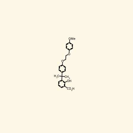 COc1ccc(OCCOc2ccc(C(C)(C)c3cccc(C(=O)O)c3O)cc2)cc1